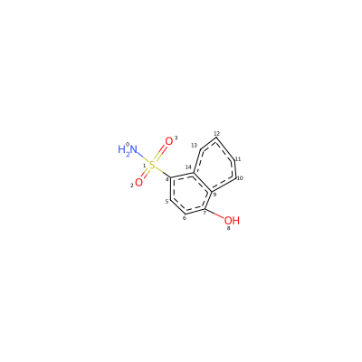 NS(=O)(=O)c1ccc(O)c2ccccc12